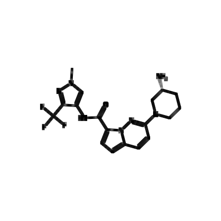 Cn1cc(NC(=O)c2ccc3ccc(N4CCC[C@@H](N)C4)nn23)c(C(F)(F)F)n1